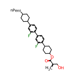 C=C(CO)C(=O)OC1CCC(c2ccc(-c3ccc(C4CCC(CCCCC)CC4)cc3F)cc2F)CC1